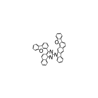 c1ccc2c(c1)ccc1c(-c3cccc4c3oc3ccccc34)nc(-n3c4ccccc4c4cc5ccc6c7ccccc7oc6c5cc43)nc12